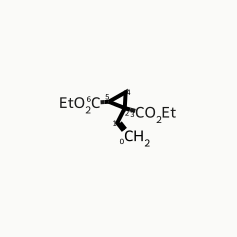 C=CC1(C(=O)OCC)CC1C(=O)OCC